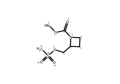 CCCCOC(=O)N1CCC1COS(C)(=O)=O